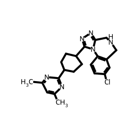 Cc1cc(C)nc(C2CCC(c3nnc4n3-c3ccc(Cl)cc3CNC4)CC2)n1